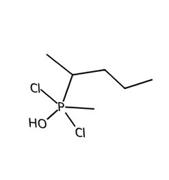 CCCC(C)P(C)(O)(Cl)Cl